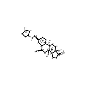 C[C@]12CC/C(=N/O[C@H]3CCNC3)CC1C(=O)C[C@@H]1[C@H]2CC[C@]2(C)C(=O)CC[C@@H]12